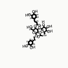 CC(=O)OC1C(OCCc2ccc(O)c(O)c2)OC(CO)C(OC(=O)/C=C/c2ccc(O)c(O)c2)C1OC1OC(C)C(O)C(O)C1O